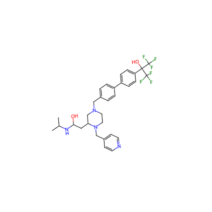 CC(C)NC(O)CC1CN(Cc2ccc(-c3ccc(C(O)(C(F)(F)F)C(F)(F)F)cc3)cc2)CCN1Cc1ccncc1